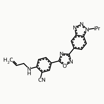 C=CCNc1ccc(-c2nc(-c3ccc4c(c3)nnn4C(C)C)no2)cc1C#N